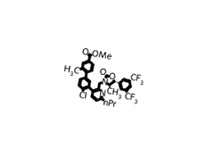 CCCc1ccc(-c2cc(-c3ccc(C(=O)OC)cc3C)ccc2Cl)c(CN2C(=O)O[C@H](c3cc(C(F)(F)F)cc(C(F)(F)F)c3)[C@@H]2C)n1